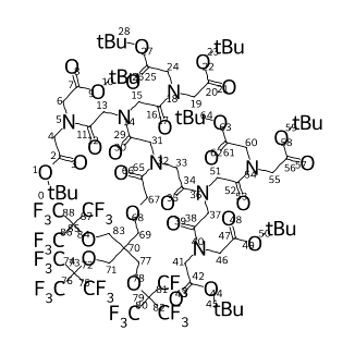 CC(C)(C)OC(=O)CN(CC(=O)OC(C)(C)C)C(=O)CN(CC(=O)N(CC(=O)OC(C)(C)C)CC(=O)OC(C)(C)C)C(=O)CN(CC(=O)N(CC(=O)N(CC(=O)OC(C)(C)C)CC(=O)OC(C)(C)C)CC(=O)N(CC(=O)OC(C)(C)C)CC(=O)OC(C)(C)C)C(=O)COCC(COC(C(F)(F)F)(C(F)(F)F)C(F)(F)F)(COC(C(F)(F)F)(C(F)(F)F)C(F)(F)F)COC(C(F)(F)F)(C(F)(F)F)C(F)(F)F